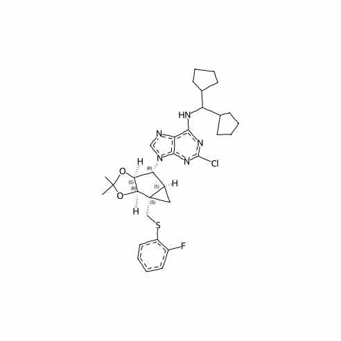 CC1(C)O[C@H]2[C@H](n3cnc4c(NC(C5CCCC5)C5CCCC5)nc(Cl)nc43)[C@H]3C[C@@]3(CSc3ccccc3F)[C@H]2O1